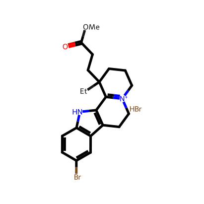 Br.CCC1(CCC(=O)OC)CCC[N+]2=C1c1[nH]c3ccc(Br)cc3c1CC2